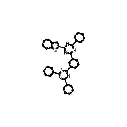 c1ccc(-c2nc(-c3ccccc3)nc(-c3cccc(-c4nc(-c5ccccc5)nc(-c5cc6ccccc6s5)n4)c3)n2)cc1